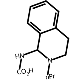 CCCN1CCc2ccccc2C1NC(=O)O